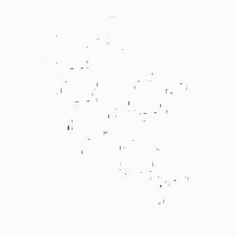 CC[C@@H](C)Oc1cc2c(cc1OC)NC(=O)N(c1ccc(N(C)C)cc1)C2c1ccc(Cl)cc1